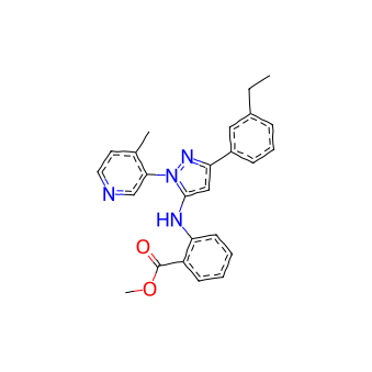 CCc1cccc(-c2cc(Nc3ccccc3C(=O)OC)n(-c3cnccc3C)n2)c1